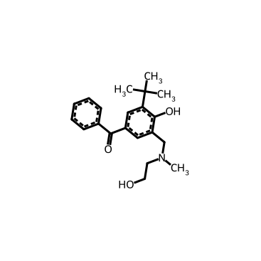 CN(CCO)Cc1cc(C(=O)c2ccccc2)cc(C(C)(C)C)c1O